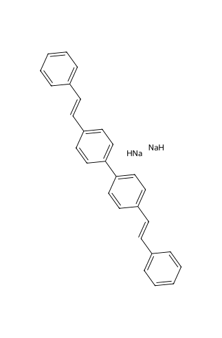 C(=Cc1ccc(-c2ccc(C=Cc3ccccc3)cc2)cc1)c1ccccc1.[NaH].[NaH]